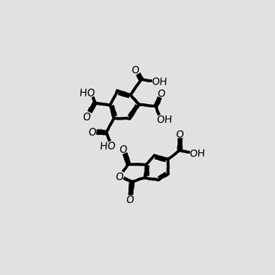 O=C(O)c1cc(C(=O)O)c(C(=O)O)cc1C(=O)O.O=C(O)c1ccc2c(c1)C(=O)OC2=O